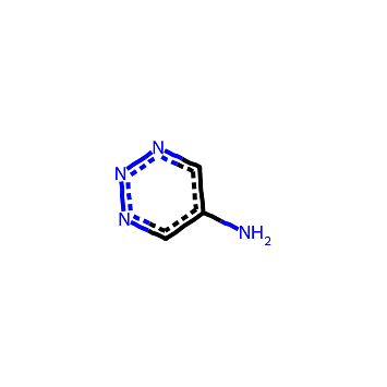 Nc1cnnnc1